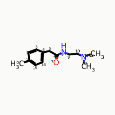 Cc1ccc(CC(=O)NCCN(C)C)cc1